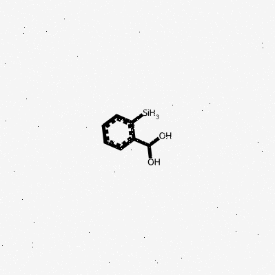 OC(O)c1ccccc1[SiH3]